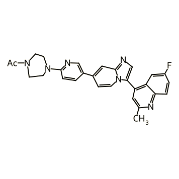 CC(=O)N1CCN(c2ccc(-c3ccn4c(-c5cc(C)nc6ccc(F)cc56)cnc4c3)cn2)CC1